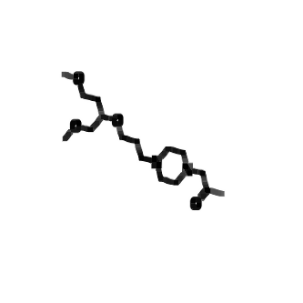 COCCC(COC)OCCCN1CCN(CC(C)=O)CC1